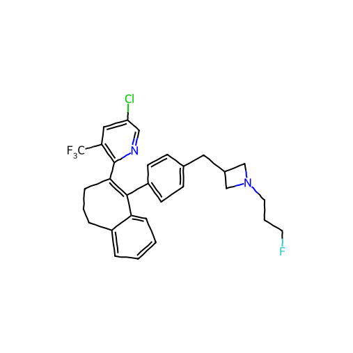 FCCCN1CC(Cc2ccc(C3=C(c4ncc(Cl)cc4C(F)(F)F)CCCc4ccccc43)cc2)C1